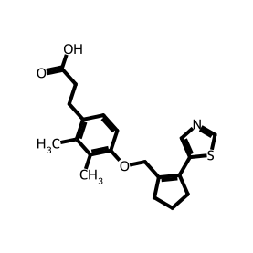 Cc1c(CCC(=O)O)ccc(OCC2=C(c3cncs3)CCC2)c1C